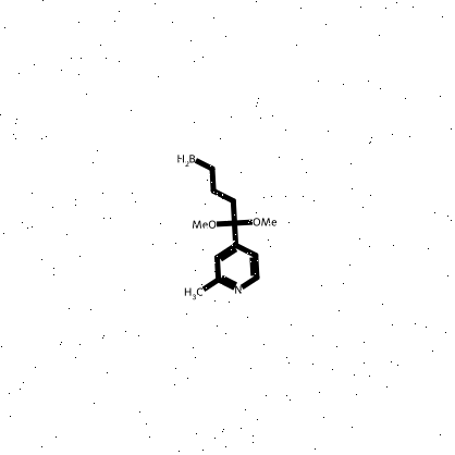 BCCCC(OC)(OC)c1ccnc(C)c1